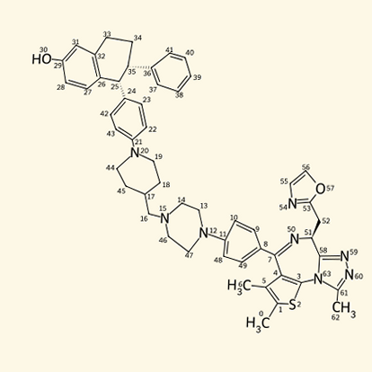 Cc1sc2c(c1C)C(c1ccc(N3CCN(CC4CCN(c5ccc([C@@H]6c7ccc(O)cc7CC[C@@H]6c6ccccc6)cc5)CC4)CC3)cc1)=N[C@@H](Cc1ncco1)c1nnc(C)n1-2